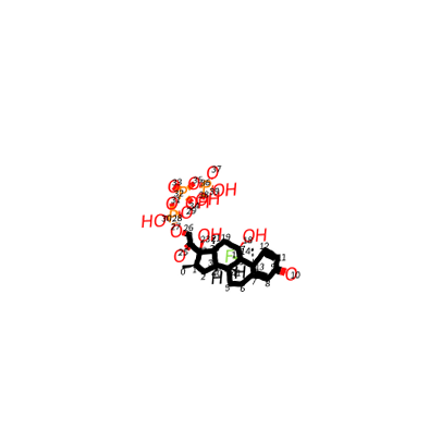 C[C@@H]1C[C@H]2[C@@H]3CCC4=CC(=O)C=C[C@]4(C)[C@@]3(F)[C@@H](O)C[C@]2(C)[C@@]1(O)C(=O)COP(=O)(O)OP(=O)(O)OP(=O)(O)O